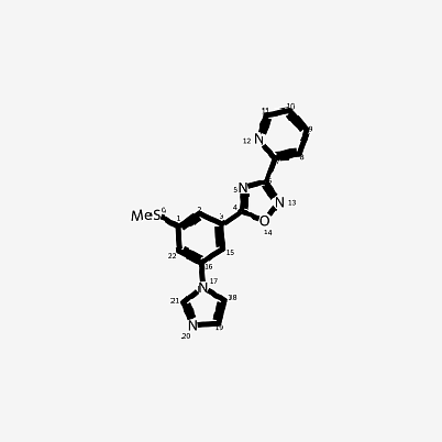 CSc1cc(-c2nc(-c3ccccn3)no2)cc(-n2ccnc2)c1